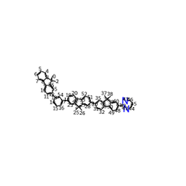 CC1(C)c2ccccc2-c2ccc(-c3cccc(-c4ccc5c(c4)C(C)(C)c4cc(-c6ccc7c(c6)C(C)(C)c6cc(-c8ncccn8)ccc6-7)ccc4-5)c3)cc21